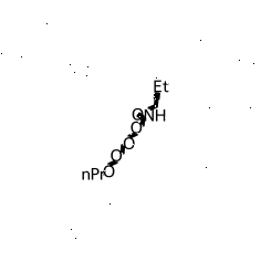 CCC#CCCNC(=O)COCCOCCOCCOCCC